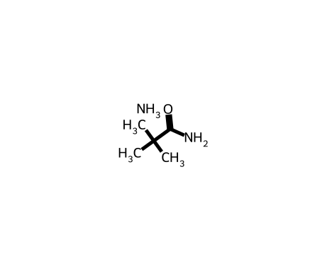 CC(C)(C)C(N)=O.N